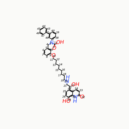 O=C(O)N(Cc1cccc(OCCCCCCCCCNC[C@H](O)c2ccc(O)c3[nH]c(=O)ccc23)c1)c1cccc(-c2ccccc2)c1